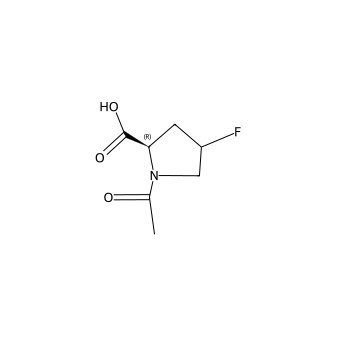 CC(=O)N1CC(F)C[C@@H]1C(=O)O